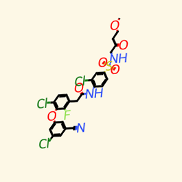 COCCC(=O)CNS(=O)(=O)c1ccc(NC(=O)Cc2ccc(Cl)c(Oc3cc(Cl)cc(C#N)c3)c2F)c(Cl)c1